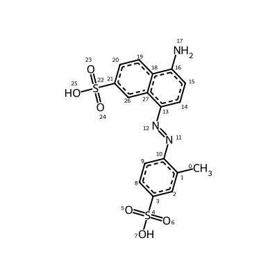 Cc1cc(S(=O)(=O)O)ccc1N=Nc1ccc(N)c2ccc(S(=O)(=O)O)cc12